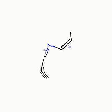 C#C/C=N\C=C/C